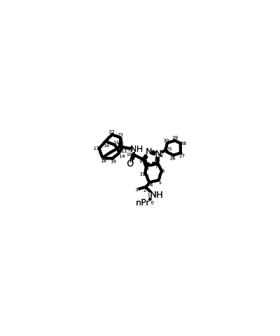 CCCNC(C)C1CCc2c(c(C(=O)NC3C4CC5CC(C4)CC3C5)nn2C2CCCCC2)C1